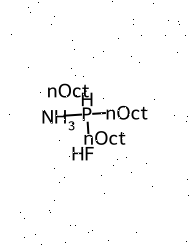 CCCCCCCC[PH](C)(CCCCCCCC)CCCCCCCC.F.N